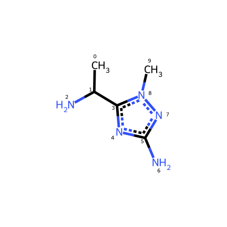 CC(N)c1nc(N)nn1C